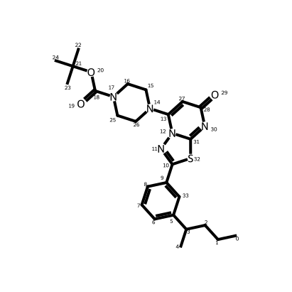 CCCC(C)c1cccc(-c2nn3c(N4CCN(C(=O)OC(C)(C)C)CC4)cc(=O)nc3s2)c1